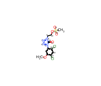 COc1cc(-n2nnn(CCOS(C)(=O)=O)c2=O)c(Cl)cc1Cl